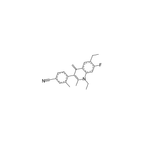 C=C1C(c2ccc(C#N)cc2C)=C(C)N(CC)c2cc(F)c(CC)cc21